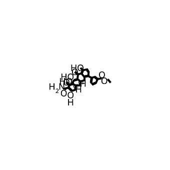 CCOC(=O)c1cccc(-c2ccc(O)c3c2C[C@H]2C[C@H]4CC(O)=C(C(N)=O)C(=O)[C@@]4(O)C(O)=C2C3=O)c1